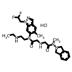 CCNCCN(C(=O)CNCC(=O)N(C)N1Cc2ccccc2C1)c1cc2c(cnn2CC(F)F)cc1C.Cl